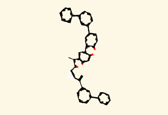 C=C(/C=C\c1oc2cc3oc4ccc(-c5cccc(-c6ccccc6)c5)cc4c3cc2c1C)c1cccc(-c2ccccc2)c1